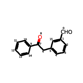 O=Cc1cccc(CC(=O)c2ccccc2)c1